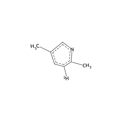 [2H]c1cc(C)cnc1C